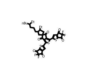 CCCCC(CC)CCCC1CC2(CC1CC)C(=O)c1c(-c3cc4c(s3)C(=O)C(F)(F)C4=O)sc(-c3cc4c(s3)C(=O)C(F)(F)C4=O)c1C2=O